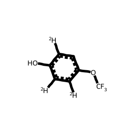 [2H]c1cc(OC(F)(F)F)c([2H])c([2H])c1O